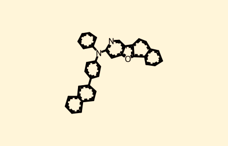 c1ccc(N(c2ccc(-c3ccc4ccccc4c3)cc2)c2cc3oc4c5ccccc5ccc4c3cn2)cc1